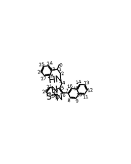 CC(CNCc1c(-c2ccc3ccccc3c2)nc2sccn12)c1ccccc1